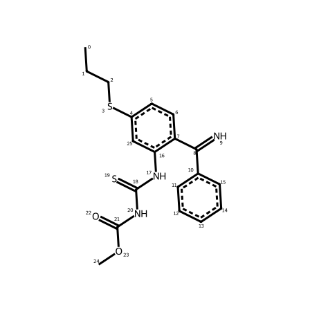 CCCSc1ccc(C(=N)c2ccccc2)c(NC(=S)NC(=O)OC)c1